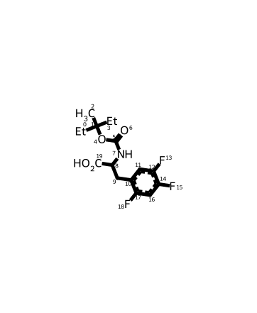 CCC(C)(CC)OC(=O)NC(Cc1cc(F)c(F)cc1F)C(=O)O